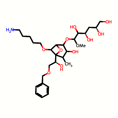 COC(OC1C(O)C(C)C2([C@@H](O)COCc3ccccc3)OC1C2OCCCCCN)C(O)[C@H](O)C[C@H](O)CO